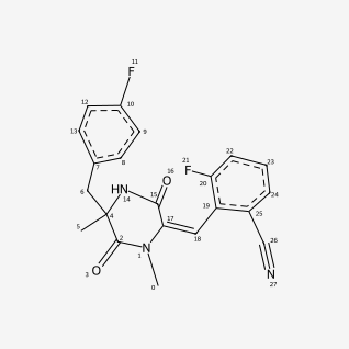 CN1C(=O)C(C)(Cc2ccc(F)cc2)NC(=O)/C1=C\c1c(F)cccc1C#N